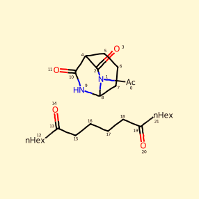 CC(=O)N1C(=O)C2CCCC1NC2=O.CCCCCCC(=O)CCCCC(=O)CCCCCC